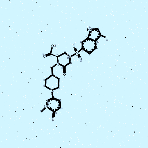 Cn1nc(N2CCC(CN3C(=O)CN(S(=O)(=O)c4ccc5c(Cl)c[nH]c5c4)C[C@@H]3C(=O)O)CC2)ccc1=O